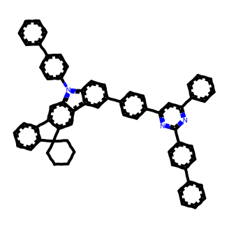 c1ccc(-c2ccc(-c3nc(-c4ccccc4)cc(-c4ccc(-c5ccc6c(c5)c5cc7c(cc5n6-c5ccc(-c6ccccc6)cc5)-c5ccccc5C75CCCCC5)cc4)n3)cc2)cc1